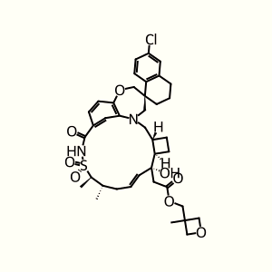 C[C@@H]1[C@@H](C)C/C=C/[C@](O)(CC(=O)OCC2(C)COC2)[C@@H]2CC[C@H]2CN2C[C@@]3(CCCc4cc(Cl)ccc43)COc3ccc(cc32)C(=O)NS1(=O)=O